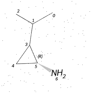 CC(C)C1C[C@H]1N